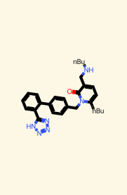 CCCCNCc1ccc(CCCC)n(Cc2ccc(-c3ccccc3-c3nnn[nH]3)cc2)c1=O